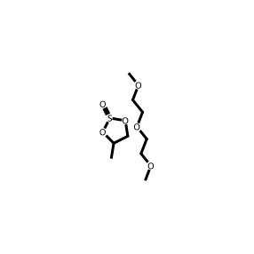 CC1COS(=O)O1.COCCOCCOC